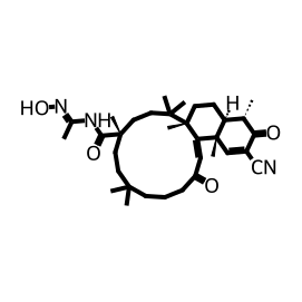 C/C(=N\O)NC(=O)[C@@]1(C)CCC(C)(C)CCCC(=O)/C=C2/[C@@]3(C)C=C(C#N)C(=O)[C@@H](C)[C@@H]3CC[C@@]2(C)C(C)(C)CC1